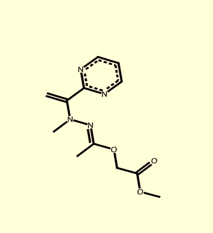 C=C(c1ncccn1)N(C)/N=C(\C)OCC(=O)OC